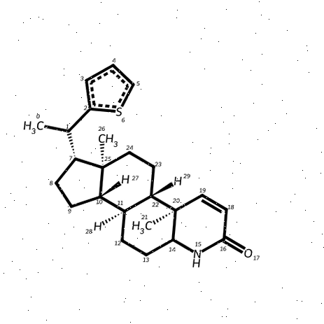 CC(c1cccs1)[C@H]1CC[C@H]2[C@@H]3CCC4NC(=O)C=C[C@]4(C)[C@H]3CC[C@]12C